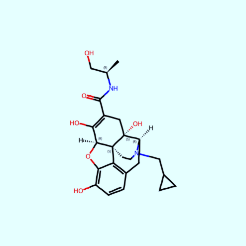 C[C@H](CO)NC(=O)C1=C(O)[C@@H]2Oc3c(O)ccc4c3[C@@]23CCN(CC2CC2)[C@H](C4)[C@]3(O)C1